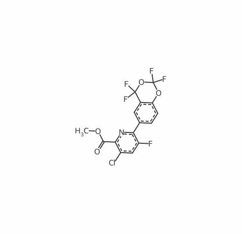 COC(=O)c1nc(-c2ccc3c(c2)C(F)(F)OC(F)(F)O3)c(F)cc1Cl